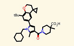 Cc1c(C(=O)N2CCC(C)(C(=O)O)CC2)cc(-c2cc(C(C)(C)C)c3c(c2)C2(CCO3)CC2)n1CC1CCCCC1